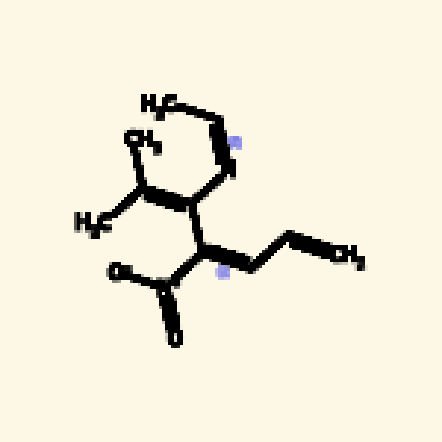 C=C/C=C(\C(/N=C\C)=C(C)C)[N+](=O)[O-]